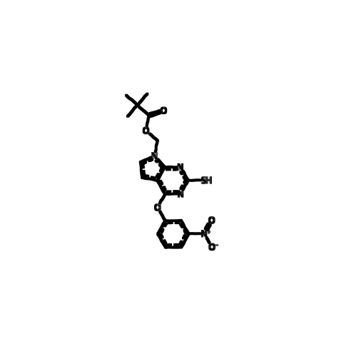 CC(C)(C)C(=O)OCn1ccc2c(Oc3cccc([N+](=O)[O-])c3)nc(S)nc21